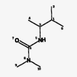 CC(C)C(C)NC(=O)N(C)C